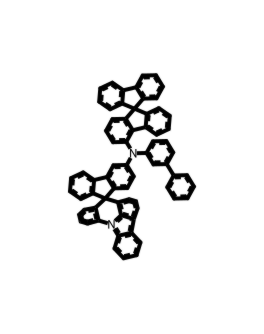 c1ccc(-c2cccc(N(c3ccc4c(c3)-c3ccccc3C43c4ccccc4-n4c5ccccc5c5cccc3c54)c3cccc4c3-c3ccccc3C43c4ccccc4-c4ccccc43)c2)cc1